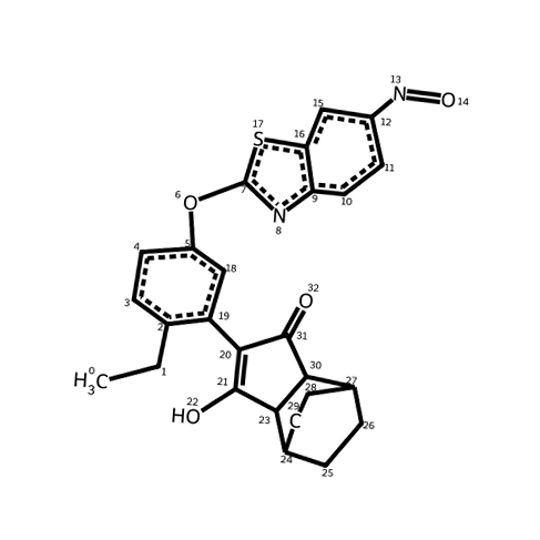 CCc1ccc(Oc2nc3ccc(N=O)cc3s2)cc1C1=C(O)C2C3CCC(CC3)C2C1=O